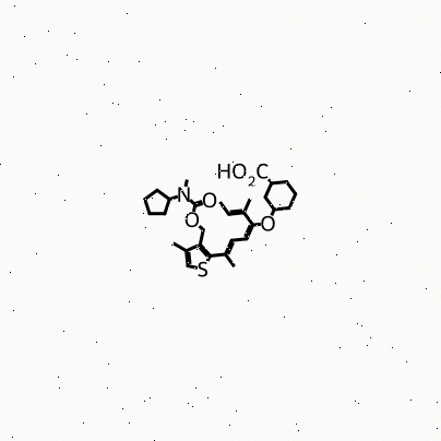 C/C=C(C)/C(=C\C=C(/C)c1scc(C)c1COC(=O)N(C)C1CCCC1)OC1CCC[C@H](C(=O)O)C1